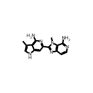 Cc1c[nH]c2cc(-c3nc4ccnc(N)c4n3C)nc(N)c12